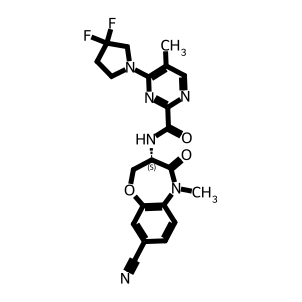 Cc1cnc(C(=O)N[C@H]2COc3cc(C#N)ccc3N(C)C2=O)nc1N1CCC(F)(F)C1